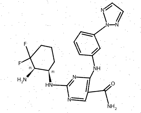 NC(=O)c1cnc(N[C@@H]2CCCC(F)(F)[C@@H]2N)nc1Nc1cccc(-n2nccn2)c1